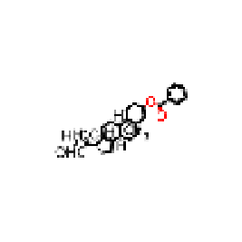 C[C@H](C=O)[C@H]1CC[C@H]2[C@@H]3CC=C4C[C@@H](OC(=O)c5ccccc5)CC[C@]4(C)[C@H]3CC[C@]12C